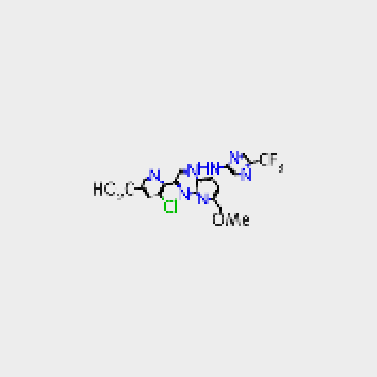 COCc1cc(Nc2cnc(C(F)(F)F)cn2)c2ncc(-c3ncc(C(=O)O)cc3Cl)nc2n1